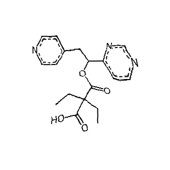 CCC(CC)(C(=O)O)C(=O)OC(Cc1ccncc1)c1ccncn1